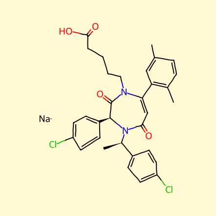 Cc1ccc(C)c(C2=CC(=O)N([C@H](C)c3ccc(Cl)cc3)[C@@H](c3ccc(Cl)cc3)C(=O)N2CCCCC(=O)O)c1.[Na]